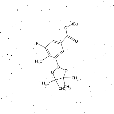 Cc1c(F)cc(C(=O)OC(C)(C)C)cc1B1OC(C)(C)C(C)(C)O1